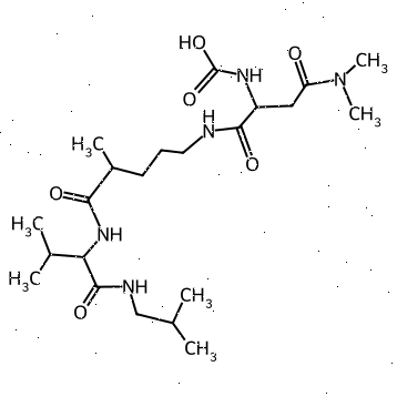 CC(C)CNC(=O)C(NC(=O)C(C)CCCNC(=O)C(CC(=O)N(C)C)NC(=O)O)C(C)C